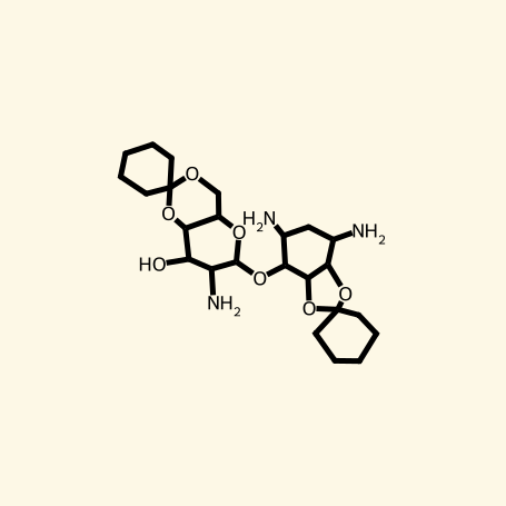 NC1CC(N)C2OC3(CCCCC3)OC2C1OC1OC2COC3(CCCCC3)OC2C(O)C1N